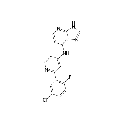 Fc1ccc(Cl)cc1-c1cc(Nc2ccnc3[nH]cnc23)ccn1